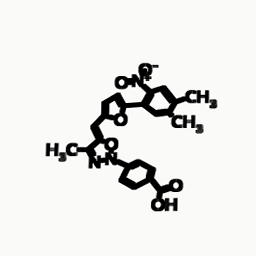 CC1=NN(c2ccc(C(=O)O)cc2)OC1=Cc1ccc(-c2cc(C)c(C)cc2[N+](=O)[O-])o1